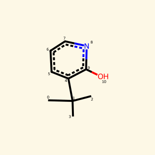 CC(C)(C)c1cccnc1O